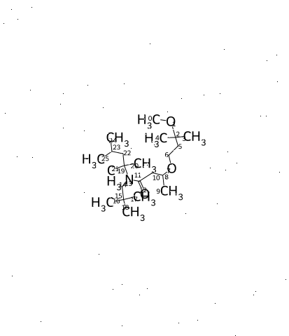 COC(C)(C)CCOC(C)CC(=O)N(CC(C)(C)C)C(C)(C)CC(C)C